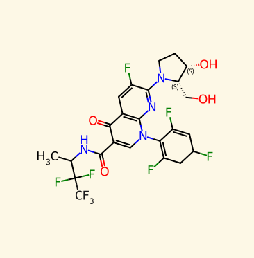 CC(NC(=O)c1cn(C2=C(F)CC(F)C=C2F)c2nc(N3CC[C@H](O)[C@@H]3CO)c(F)cc2c1=O)C(F)(F)C(F)(F)F